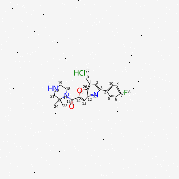 Cc1cc(-c2ccc(F)cc2)nc2cc(C(=O)N3CCNCC3(C)C)oc12.Cl